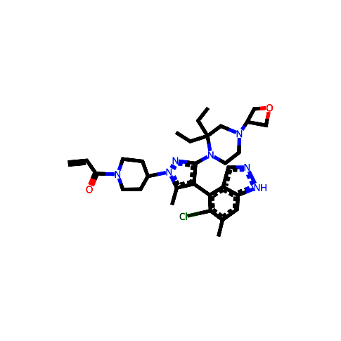 C=CC(=O)N1CCC(n2nc(N3CCN(C4COC4)CC3(CC)CC)c(-c3c(Cl)c(C)cc4[nH]ncc34)c2C)CC1